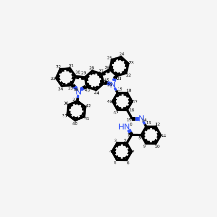 N=C(c1ccccc1)c1ccccc1/N=C/c1ccc(-n2c3ccccc3c3cc4c5ccccc5n(-c5ccccc5)c4cc32)cc1